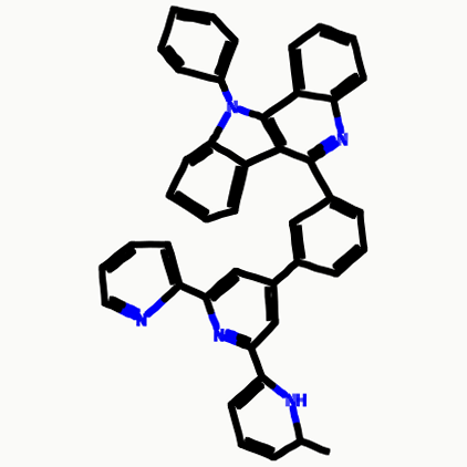 CC1C=CC=C(c2cc(-c3cccc(-c4nc5ccccc5c5c4c4ccccc4n5-c4ccccc4)c3)cc(-c3ccccn3)n2)N1